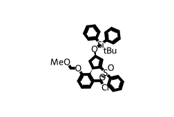 COCOc1cccc(CCl)c1[C@@H]1C[C@@H](O[Si](c2ccccc2)(c2ccccc2)C(C)(C)C)C=C1S(=O)(=O)c1ccccc1